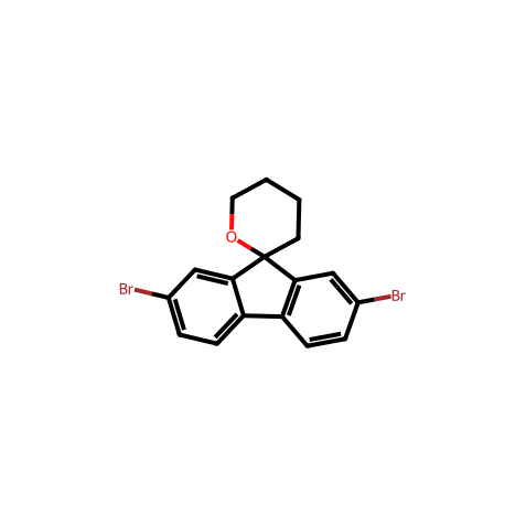 Brc1ccc2c(c1)C1(CCCCO1)c1cc(Br)ccc1-2